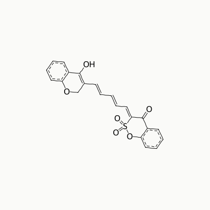 O=C1/C(=C/C=CC=CC2=C(O)c3ccccc3OC2)S(=O)(=O)Oc2ccccc21